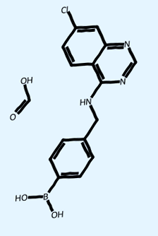 O=CO.OB(O)c1ccc(CNc2ncnc3cc(Cl)ccc23)cc1